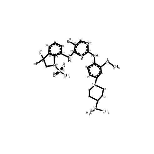 COc1cc(N2CCC(N(C)C)CC2)ccc1Nc1ncc(Br)c(Nc2cccc3c2N(S(C)(=O)=O)CC3(F)F)n1